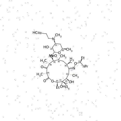 C#CCCN(C)[C@H]1C[C@@H](C)OC(O[C@@H]2[C@@H](C)C(=O)[C@@H](C)C(=O)O[C@H](CC)[C@@](C)(O)[C@H](O)[C@@H](C)/C(=N/O[C@@H](CC)CCC)[C@H](C)C[C@@]2(C)OC)[C@@H]1O